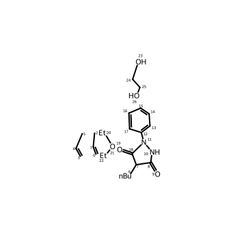 C=CC.C=CC.CCCCC1C(=O)NN(c2ccccc2)C1=O.CCOCC.OCCO